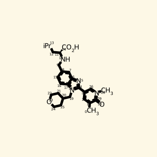 Cc1cc(-c2nc3cc(CN[C@@H](CC(C)C)C(=O)O)ccc3n2CC2CCOCC2)cn(C)c1=O